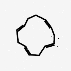 [C]1=C/C/C=C/C/C=C\CC/C=C/C/1